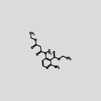 Bc1nccc(N(C)C(=O)CC(=O)OCC)c1C(=O)OCC